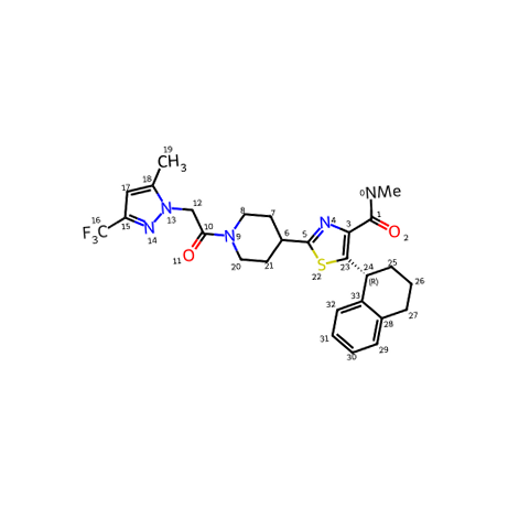 CNC(=O)c1nc(C2CCN(C(=O)Cn3nc(C(F)(F)F)cc3C)CC2)sc1[C@@H]1CCCc2ccccc21